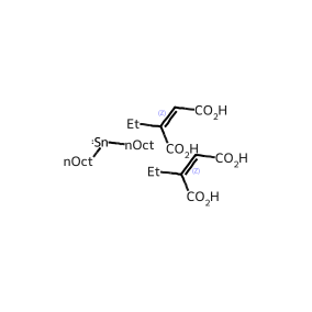 CC/C(=C/C(=O)O)C(=O)O.CC/C(=C/C(=O)O)C(=O)O.CCCCCCC[CH2][Sn][CH2]CCCCCCC